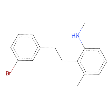 CNc1cccc(C)c1CCc1cccc(Br)c1